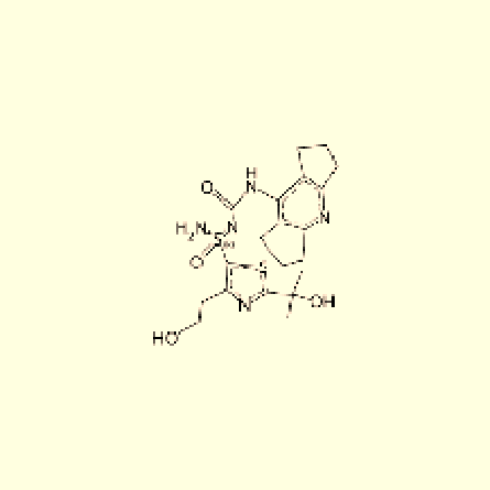 CC(C)(O)c1nc(CCO)c([S@](N)(=O)=NC(=O)Nc2c3c(nc4c2CCC4)CCC3)s1